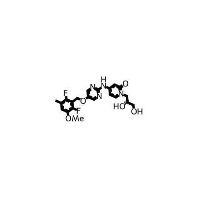 COc1cc(C)c(F)c(COc2cnc(Nc3ccn(C[C@@H](O)CO)c(=O)c3)nc2)c1F